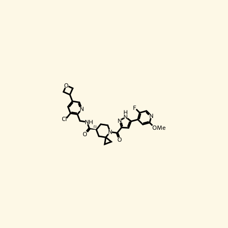 COc1cc(-c2cc(C(=O)N3CC[C@H](C(=O)NCc4ncc(C5COC5)cc4Cl)CC34CC4)n[nH]2)c(F)cn1